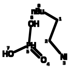 CCCCC[CH2][Ni].O=[PH](O)O